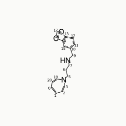 C1=CC=CN(CCCNCc2ccc3c(c2)OCO3)C=C1